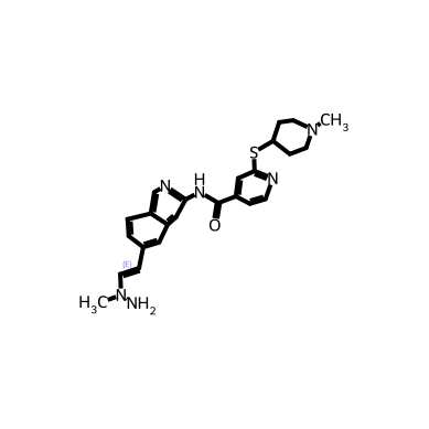 CN(N)/C=C/c1ccc2cnc(NC(=O)c3ccnc(SC4CCN(C)CC4)c3)cc2c1